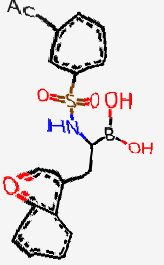 CC(=O)c1cccc(S(=O)(=O)NC(Cc2coc3ccccc23)B(O)O)c1